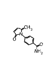 C=C1C=CC(=O)N1c1ccc(C(N)=O)cc1